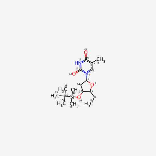 CCC1OC(n2cc(C)c(=O)[nH]c2=O)CC1O[Si](C)(C)C(C)(C)C